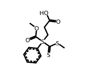 COC(=O)S(CCC(=O)O)(C(=S)SC)c1ccccc1